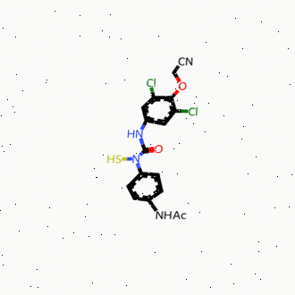 CC(=O)Nc1ccc(N(S)C(=O)Nc2cc(Cl)c(OCC#N)c(Cl)c2)cc1